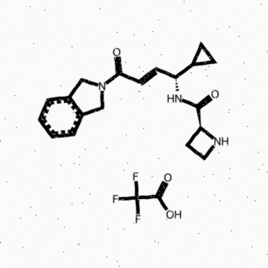 O=C(N[C@H](C=CC(=O)N1Cc2ccccc2C1)C1CC1)[C@@H]1CCN1.O=C(O)C(F)(F)F